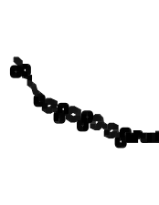 C=CC(=O)OCCCCCCOc1ccc(C(=O)Oc2ccc(C(=O)Oc3ccc(-c4ccc(C(=O)OCCCCC)cc4)cc3)cc2)cc1